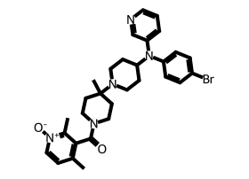 Cc1cc[n+]([O-])c(C)c1C(=O)N1CCC(C)(N2CCC(N(c3ccc(Br)cc3)c3cccnc3)CC2)CC1